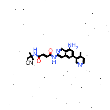 Cc1ccncc1-c1cc(N)c2cnc(NC(=O)/C=C/C(=O)NC(C)(C)CC#N)cc2c1